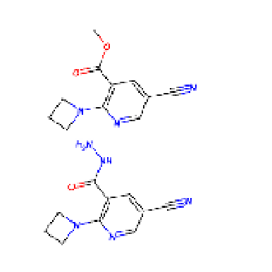 COC(=O)c1cc(C#N)cnc1N1CCC1.N#Cc1cnc(N2CCC2)c(C(=O)NN)c1